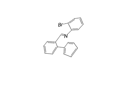 Brc1ccccc1N=Cc1ccccc1-c1ccccc1